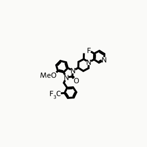 COc1cccc2c1n(Cc1ccccc1C(F)(F)F)c(=O)n2C1CCN(c2cnccc2F)C(C)C1